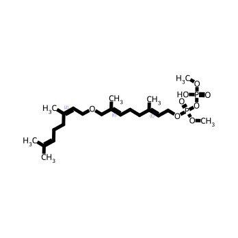 COP(=O)(O)OP(=O)(OC)OC/C=C(\C)CC/C=C(\C)COC/C=C(/C)CCC=C(C)C